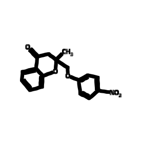 CC1(COc2ccc([N+](=O)[O-])cc2)CC(=O)c2ccccc2O1